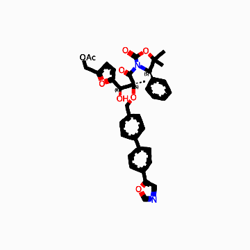 CC(=O)OCc1ccc([C@H](O)[C@](C)(OCc2ccc(-c3ccc(-c4cnco4)cc3)cc2)C(=O)N2C(=O)OC(C)(C)[C@@H]2c2ccccc2)o1